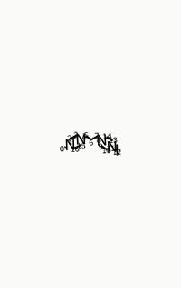 CN1C=CN(CCCN2CCN(I)CC2)CC1